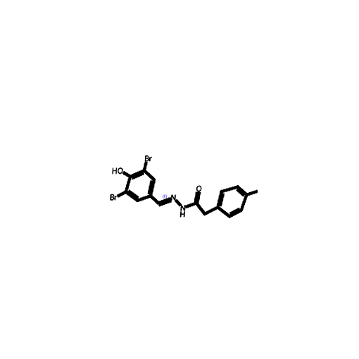 Cc1ccc(CC(=O)N/N=C/c2cc(Br)c(O)c(Br)c2)cc1